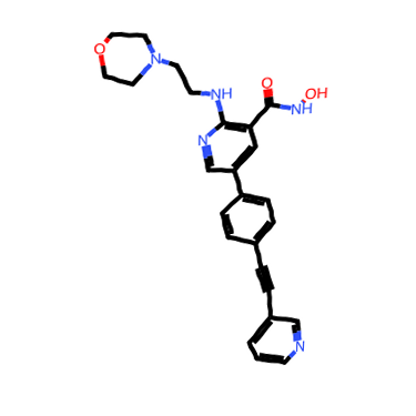 O=C(NO)c1cc(-c2ccc(C#Cc3cccnc3)cc2)cnc1NCCN1CCOCC1